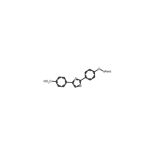 CCCCCOc1ccc(-c2ncc(-c3ccc(C(=O)O)cc3)s2)cc1